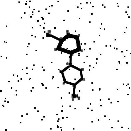 NC1CCN(c2ccnc(Br)c2)CC1